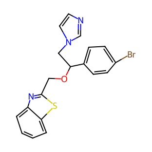 Brc1ccc(C(Cn2ccnc2)OCc2nc3ccccc3s2)cc1